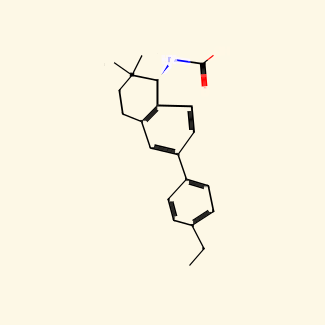 CCc1ccc(-c2ccc3c(c2)CCC(C)(C)[C@H]3NC(=O)O)cc1